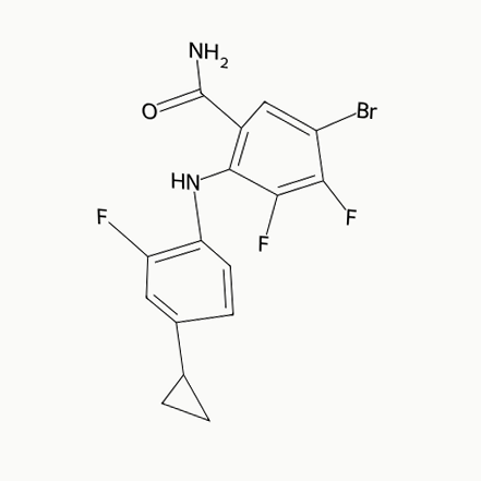 NC(=O)c1cc(Br)c(F)c(F)c1Nc1ccc(C2CC2)cc1F